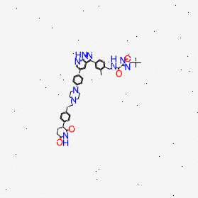 Cc1cc(-c2n[nH]c3ncc(-c4ccc(N5CCN(CCc6ccc(C7CCC(=O)NC7=O)cc6)CC5)cc4)cc23)ccc1CNC(=O)c1noc(C(C)(C)C)n1